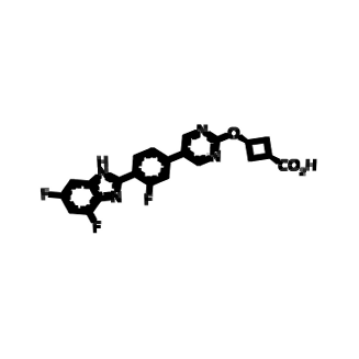 O=C(O)[C@H]1C[C@@H](Oc2ncc(-c3ccc(-c4nc5c(F)cc(F)cc5[nH]4)c(F)c3)cn2)C1